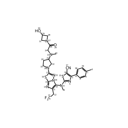 Cc1ccc(-c2nc(N(C)c3c(CC(F)(F)F)nc4sc(N5CCC(N(C)CC(=O)N6CC(O)C6)C5)nn34)sc2C#N)cc1